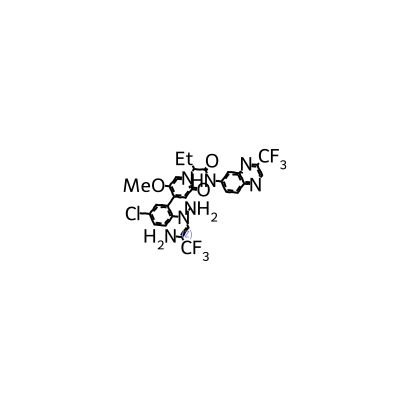 CCC(C(=O)Nc1ccc2ncc(C(F)(F)F)nc2c1)n1cc(OC)c(-c2cc(Cl)ccc2N(N)/C=C(\N)C(F)(F)F)cc1=O